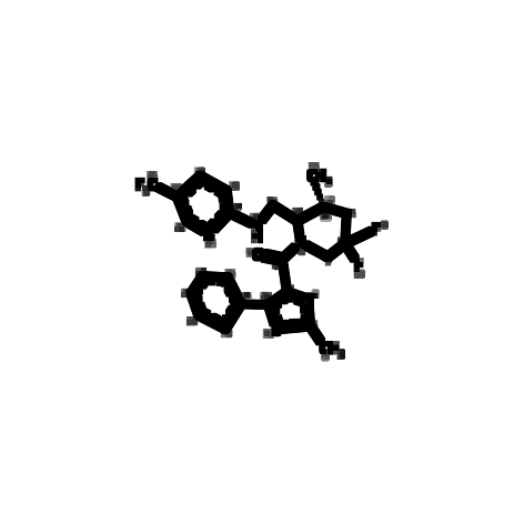 Cc1nc(C(=O)N2CC(F)(F)C[C@@H](C)C2CNc2ccc(C(F)(F)F)cn2)c(-c2ccccc2)s1